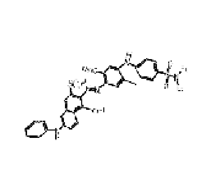 CCN(CC)S(=O)(=O)c1ccc(Nc2cc(OC)c(/N=N/c3c(S(=O)(=O)O)cc4cc(Nc5ccccc5)ccc4c3O)cc2C)cc1